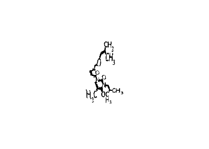 Cc1cn([C@H]2C=C[C@@H](COCC(C)C)O2)c(=O)n(CC(C)C)c1=O